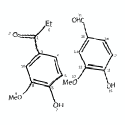 CCC(=O)c1ccc(O)c(OC)c1.COc1cc(C=O)ccc1O